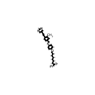 Cc1cc(/C=N/c2ccc(OCCCCCCCC(=O)C(C)C)cc2)ccc1C#Cc1cncnc1